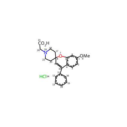 COc1ccc2c(c1)OC1(C=C2c2ccccc2)CCN(CC(=O)O)CC1.Cl